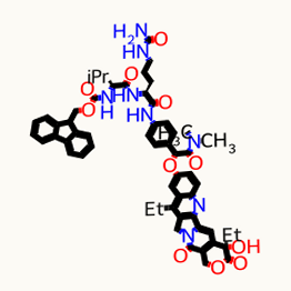 CCc1c2c(nc3ccc(OC(C(=O)N(C)C)c4ccc(NC(=O)[C@H](CCCNC(N)=O)NC(=O)[C@@H](NC(=O)OCC5c6ccccc6-c6ccccc65)C(C)C)cc4)cc13)-c1cc3c(c(=O)n1C2)COC(=O)[C@]3(O)CC